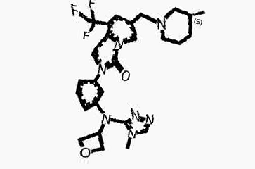 C[C@H]1CCCN(Cc2cc(C(F)(F)F)c3cn(-c4cccc(N(c5nncn5C)C5COC5)c4)c(=O)n3c2)C1